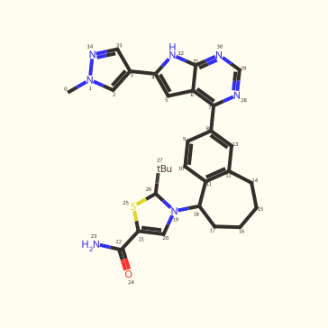 Cn1cc(-c2cc3c(-c4ccc5c(c4)CCCCC5N4C=C(C(N)=O)SC4C(C)(C)C)ncnc3[nH]2)cn1